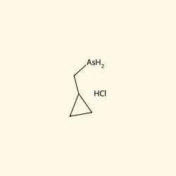 Cl.[AsH2]CC1CC1